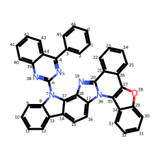 c1ccc(-c2nc(-n3c4ccccc4c4ccc5c(nc6c7ccccc7c7oc8ccccc8c7n56)c43)nc3ccccc23)cc1